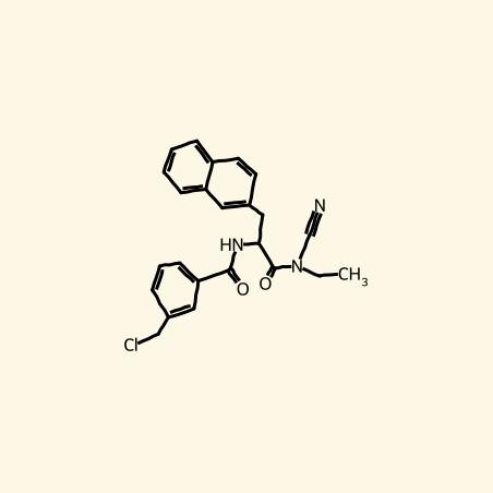 CCN(C#N)C(=O)C(Cc1ccc2ccccc2c1)NC(=O)c1cccc(CCl)c1